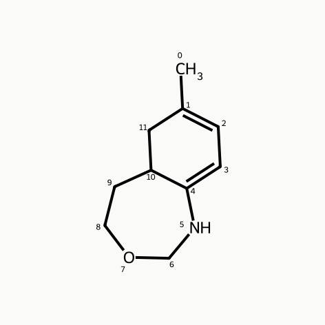 CC1=CC=C2NCOCCC2C1